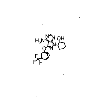 Nc1ncnc2c1c(Oc1cc(C(F)(F)F)ccn1)nn2[C@@H]1CCCC[C@H]1O